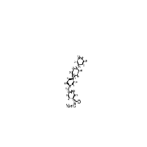 COC(=O)c1ccc(Oc2ccc(N3CCN(c4ccncc4)CC3)cc2)nc1